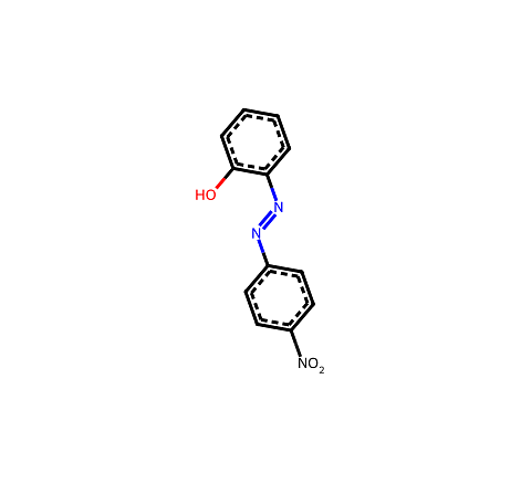 O=[N+]([O-])c1ccc(/N=N/c2ccccc2O)cc1